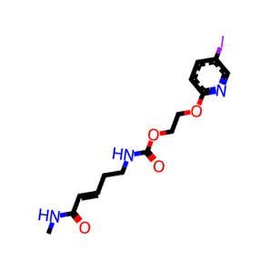 CNC(=O)/C=C/CCNC(=O)OCCOc1ccc(I)cn1